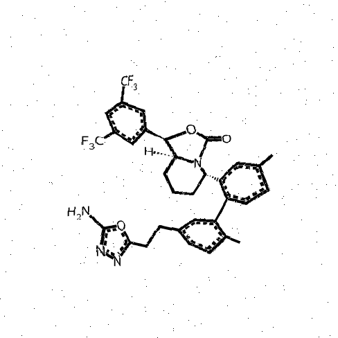 Cc1ccc(-c2cc(CCc3nnc(N)o3)ccc2C)c([C@@H]2CCC[C@H]3[C@@H](c4cc(C(F)(F)F)cc(C(F)(F)F)c4)OC(=O)N23)c1